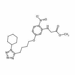 COC(=O)CNc1cc(OCCCCc2nnnn2C2CCCCC2)ccc1[N+](=O)[O-]